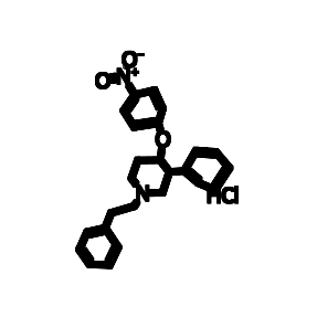 Cl.O=[N+]([O-])c1ccc(OC2CCN(CCc3ccccc3)CC2c2ccccc2)cc1